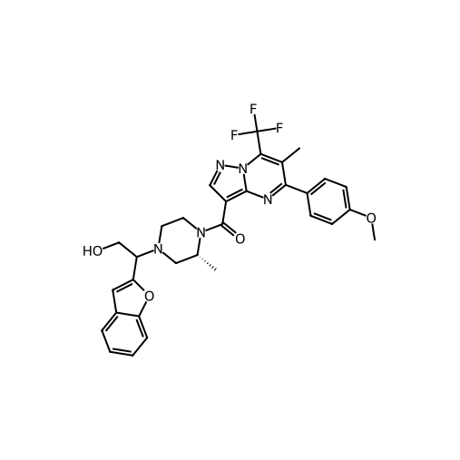 COc1ccc(-c2nc3c(C(=O)N4CCN(C(CO)c5cc6ccccc6o5)C[C@H]4C)cnn3c(C(F)(F)F)c2C)cc1